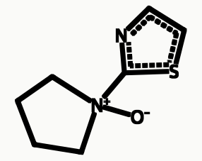 [O-][N+]1(c2nccs2)CCCC1